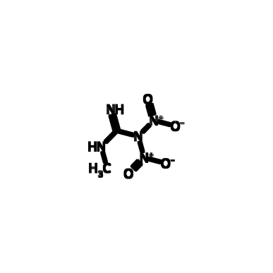 CNC(=N)N([N+](=O)[O-])[N+](=O)[O-]